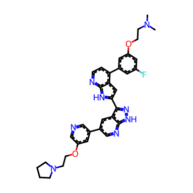 CN(C)CCOc1cc(F)cc(-c2ccnc3[nH]c(-c4n[nH]c5ncc(-c6cncc(OCCN7CCCC7)c6)cc45)cc23)c1